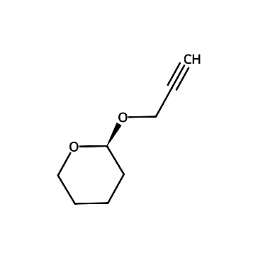 C#CCO[C@H]1CCCCO1